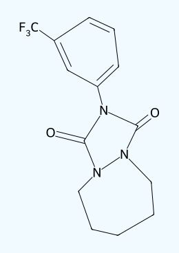 O=c1n(-c2cccc(C(F)(F)F)c2)c(=O)n2n1CCCCC2